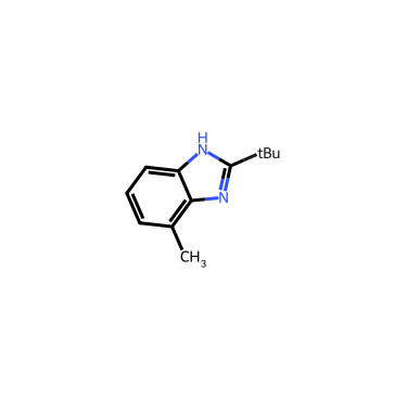 Cc1cccc2[nH]c(C(C)(C)C)nc12